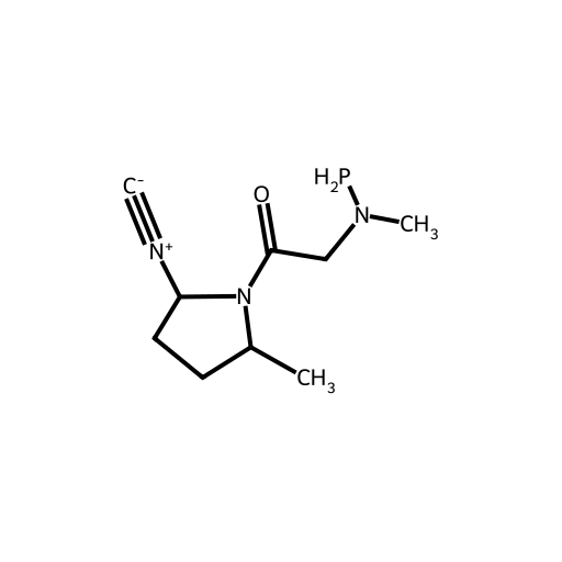 [C-]#[N+]C1CCC(C)N1C(=O)CN(C)P